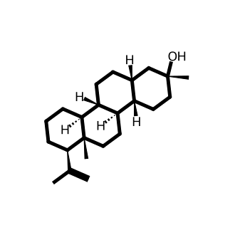 C=C(C)[C@H]1CCC[C@H]2[C@@H]3CC[C@@H]4C[C@](C)(O)CC[C@@H]4[C@H]3CC[C@]12C